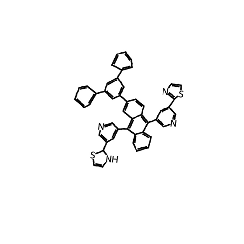 C1=CSC(c2cncc(-c3c4ccccc4c(-c4cncc(-c5nccs5)c4)c4ccc(-c5cc(-c6ccccc6)cc(-c6ccccc6)c5)cc34)c2)N1